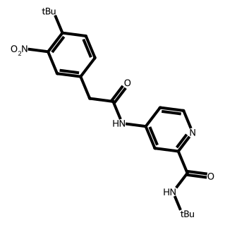 CC(C)(C)NC(=O)c1cc(NC(=O)Cc2ccc(C(C)(C)C)c([N+](=O)[O-])c2)ccn1